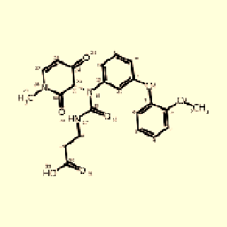 COc1ccccc1Oc1cccc(N(C(=O)NCCC(=O)O)[C@H]2C(=O)C=CN(C)C2=O)c1